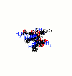 CC[C@H](C)[C@H](NC(=O)[C@H](CC(N)=O)NC(=O)[C@@H](N)CCCNC(N)=O)C(=O)N1CC(C2=CN(c3cc[cH-]c3)NN2)C[C@H]1C(=O)N[C@@H](Cc1c[nH]c2ccccc12)C(=O)N[C@@H](CO)C(N)=O.[Fe+2].c1cc[cH-]c1